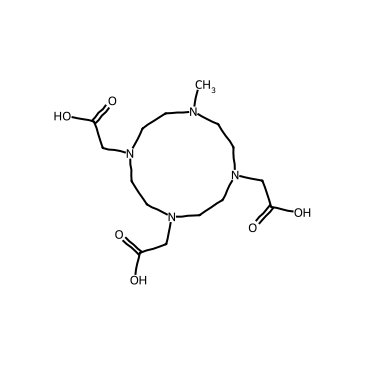 CN1CCN(CC(=O)O)CCN(CC(=O)O)CCN(CC(=O)O)CC1